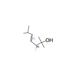 CC(C)/C=C/[C@@H](C)C(C)(C)O